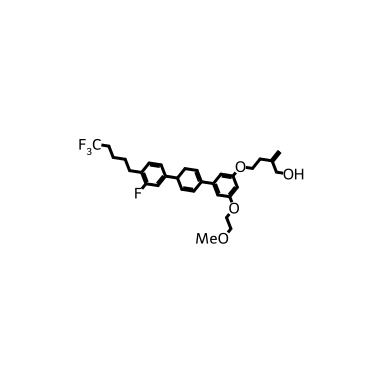 C=C(CO)CCOc1cc(OCCOC)cc(C2=CCC(c3ccc(CCCCC(F)(F)F)c(F)c3)C=C2)c1